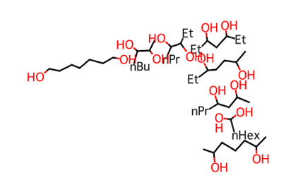 CC(O)CCCC(C)O.CCC(O)CC(O)CC.CCC(O)CCC(C)O.CCCC(O)C(O)CC.CCCC(O)CC(C)O.CCCCC(O)C(C)O.CCCCCCC(O)O.OCCCCCCCO